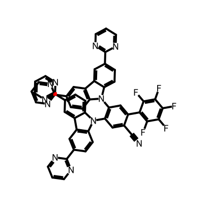 N#Cc1cc(-n2c3ccc(-c4ncccn4)cc3c3cc(-c4ncccn4)ccc32)c(-n2c3ccc(-c4ncccn4)cc3c3cc(-c4ncccn4)ccc32)cc1-c1c(F)c(F)c(F)c(F)c1F